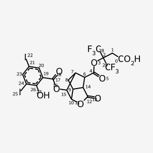 O=C(O)CC(OC(=O)C1C2CC3C(OC(=O)C31)C2OC(=O)c1cc(I)cc(I)c1O)(C(F)(F)F)C(F)(F)F